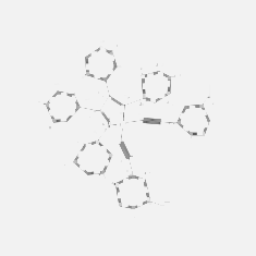 Fc1cccc(C#[C][Ge]2([C]#Cc3cccc(F)c3)[C](c3ccccc3)=C(c3ccccc3)C(c3ccccc3)=[C]2c2ccccc2)c1